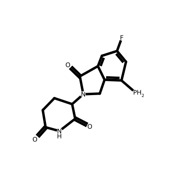 O=C1CCC(N2Cc3c(P)cc(F)cc3C2=O)C(=O)N1